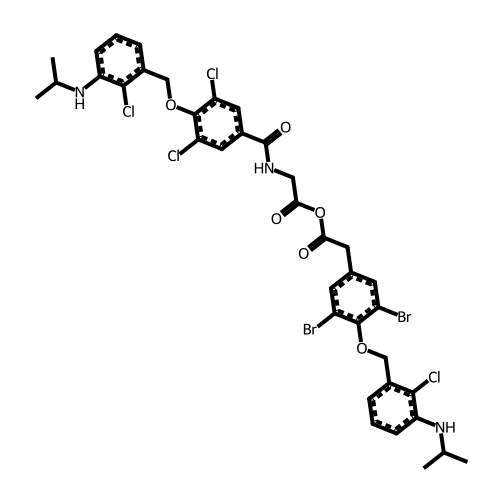 CC(C)Nc1cccc(COc2c(Cl)cc(C(=O)NCC(=O)OC(=O)Cc3cc(Br)c(OCc4cccc(NC(C)C)c4Cl)c(Br)c3)cc2Cl)c1Cl